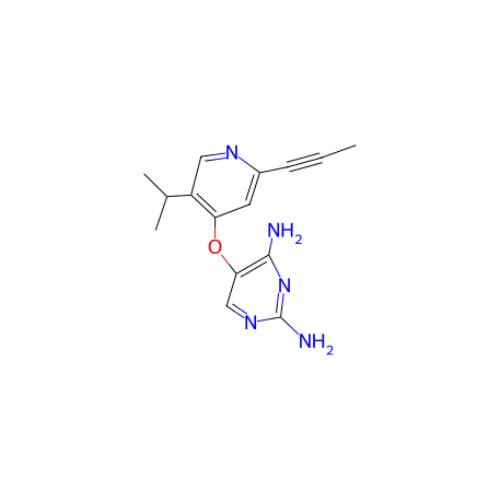 CC#Cc1cc(Oc2cnc(N)nc2N)c(C(C)C)cn1